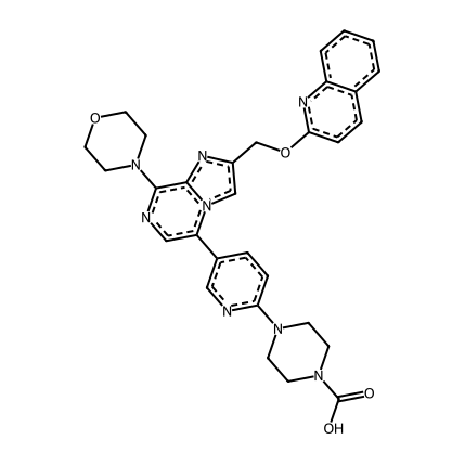 O=C(O)N1CCN(c2ccc(-c3cnc(N4CCOCC4)c4nc(COc5ccc6ccccc6n5)cn34)cn2)CC1